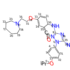 CC(C)Oc1ccc(-n2nc(NC3C=CC(OCCN4CCCCCC4)=CC3=C=O)nc2N)cc1